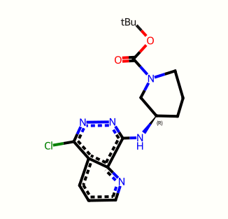 CC(C)(C)OC(=O)N1CCC[C@@H](Nc2nnc(Cl)c3cccnc23)C1